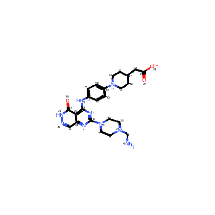 NCN1CCN(c2nc(Nc3ccc(N4CCC(CC(=O)O)CC4)cc3)c3c(=O)[nH]ncc3n2)CC1